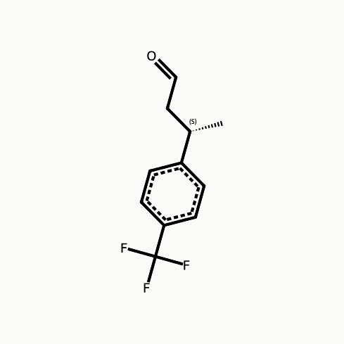 C[C@@H](CC=O)c1ccc(C(F)(F)F)cc1